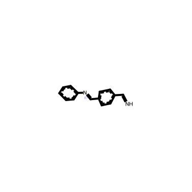 N=Cc1ccc(/C=N/c2ccccc2)cc1